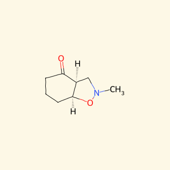 CN1C[C@@H]2C(=O)CCC[C@@H]2O1